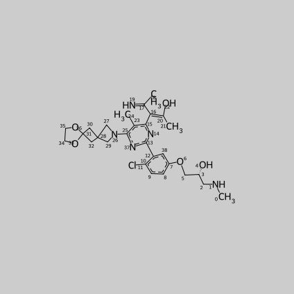 CNC[C@@H](O)COc1ccc(Cl)c(-c2nc(/C(C(C)=N)=C(\C)O)c(C)c(N3CC4(C3)CC3(C4)OCCO3)n2)c1